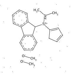 C[O-].C[O-].C[SiH](C)[Ti+2]([C]1=CC=CC1)[CH]1c2ccccc2-c2ccccc21